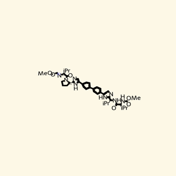 COO/C=N/[C@H](C(=O)N1CCC[C@H]1c1ncc(-c2ccc(-c3ccc(-c4cnc([C@H](NC(=O)[C@@H](NC(=O)OC)C(C)C)C(C)C)[nH]4)cc3)cc2)[nH]1)C(C)C